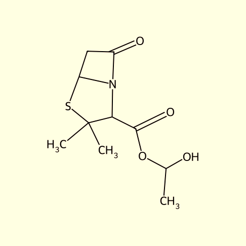 CC(O)OC(=O)C1N2C(=O)CC2SC1(C)C